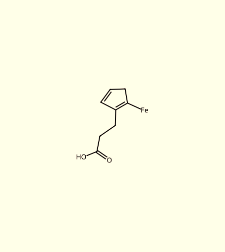 O=C(O)CCC1=[C]([Fe])CC=C1